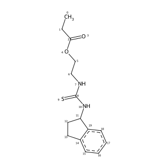 CCC(=O)OCCNC(=S)NC1CCc2ccccc21